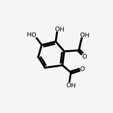 O=C(O)c1ccc(O)c(O)c1C(=O)O